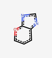 c1coc2ncnc-2c1